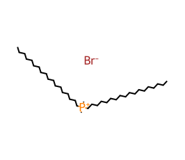 CCCCCCCCCCCCCCCCCC[P+](C)(C)CCCCCCCCCCCCCCCCCC.[Br-]